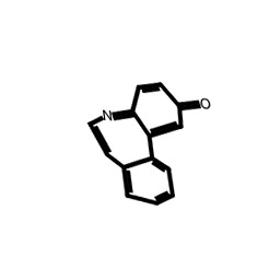 O=c1ccc2nccc3ccccc3c-2c1